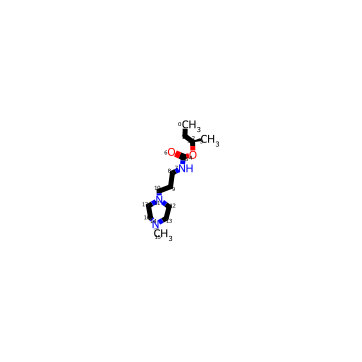 CC[C@@H](C)OC(=O)NCCCN1CCN(C)CC1